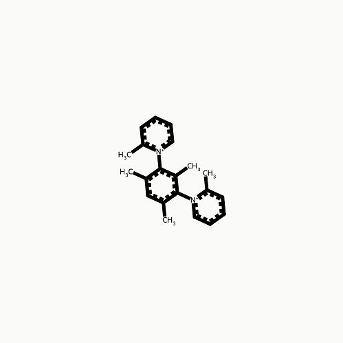 Cc1cc(C)c(-[n+]2ccccc2C)c(C)c1-[n+]1ccccc1C